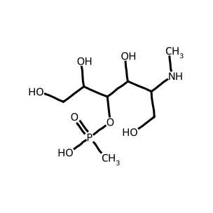 CNC(CO)C(O)C(OP(C)(=O)O)C(O)CO